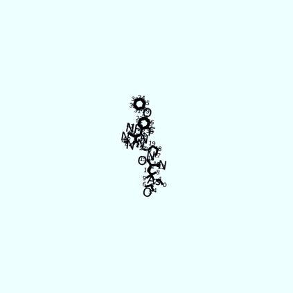 CC[As](C1COC1)C(C)(C)C=C(C#N)C(=O)N1CCC[C@@H]1Cn1nc(-c2ccc(Oc3ccccc3)cc2F)c2c(N)ncnc21